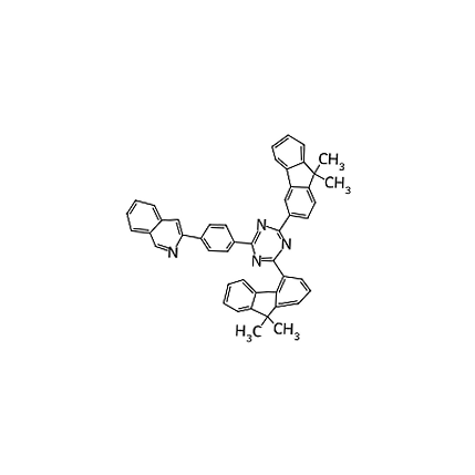 CC1(C)c2ccccc2-c2cc(-c3nc(-c4ccc(-c5cc6ccccc6cn5)cc4)nc(-c4cccc5c4-c4ccccc4C5(C)C)n3)ccc21